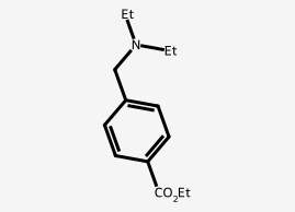 CCOC(=O)c1ccc(CN(CC)CC)cc1